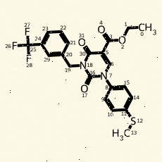 CCOC(=O)c1cn(-c2ccc(SC)cc2)c(=O)n(Cc2cccc(C(F)(F)F)c2)c1=O